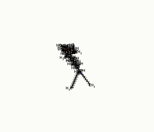 CCCCCCCCCCCCC/C=C/[C@@H](O)[C@H](CO[C@@H]1OC(CO)[C@@H](O[C@@H]2OC(CO)[C@H](O[C@@H]3OC(CO)[C@H](O)[C@H](O[C@@H]4OC(CO)[C@H](O)[C@H](O[C@@H]5OC(CO[C@]6(C(=O)O)CC(O)[C@@H](NC(C)=O)C([C@H](O)[C@H](O)CO)O6)[C@H](O)[C@H](O[C@]6(C(=O)O)CC(O)[C@@H](NC(C)=O)C([C@H](O)[C@H](O)CO)O6)C5O)C4NC(C)=O)C3O)[C@H](O)C2O)[C@H](O)C1O)NC(=O)CCCCCCCCCCCCCCC